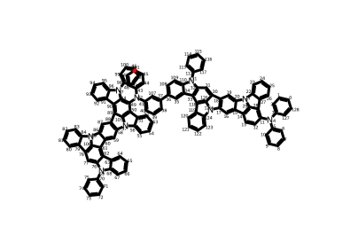 c1ccc(N(c2ccccc2)c2ccc3c4cc5c(cc4n4c6ccccc6c2c34)c2cc3c(c4cc(-c6cccc(N(c7ccccc7)c7c8c9ccccc9n9c%10cc%11c%12c%13c%14ccccc%14n(-c%14ccccc%14)c%13cc%13c%14ccccc%14n(c%11cc%10c(c%10c%11ccccc%11n(-c%11ccccc%11)c7%10)c89)c%13%12)c6)ccc4n3-c3ccccc3)c3c4ccccc4n5c23)cc1